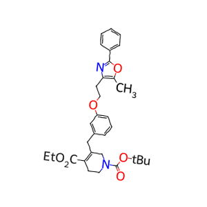 CCOC(=O)C1=C(Cc2cccc(OCCc3nc(-c4ccccc4)oc3C)c2)CN(C(=O)OC(C)(C)C)CC1